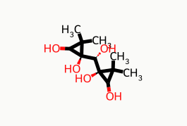 CC1(C)C(O)[C@@]1(O)[C@H](O)[C@@]1(O)C(O)C1(C)C